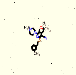 Cc1cccc(CCSc2nc(N3CCCN(C)CC3)c3c(c2C#N)CC(C)(C)OC3)c1